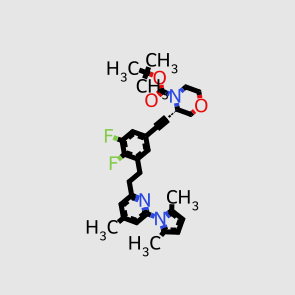 Cc1cc(CCc2cc(C#C[C@H]3COCCN3C(=O)OC(C)(C)C)cc(F)c2F)nc(-n2c(C)ccc2C)c1